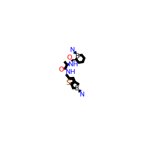 CC(NC(=O)[C@@H]1CCCCB1C#N)C(=O)NCc1cc2c(s1)CB(C#N)C2